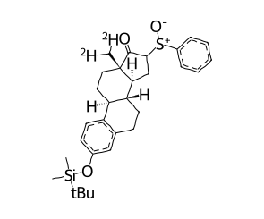 [2H]C([2H])[C@]12CC[C@@H]3c4ccc(O[Si](C)(C)C(C)(C)C)cc4CC[C@H]3[C@@H]1CC([S+]([O-])c1ccccc1)C2=O